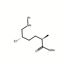 CC[C@@H](CC[C@@H](C)C(=O)NC)CNC(C)C